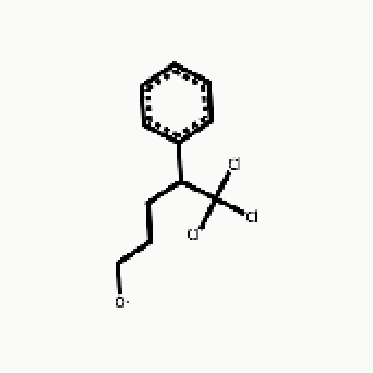 [O]CCCC(c1ccccc1)C(Cl)(Cl)Cl